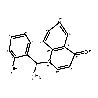 C[C@H](c1ccccc1O)n1ccc(=O)c2cnccc21